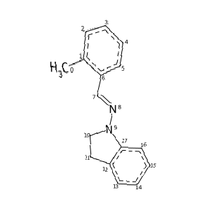 Cc1ccccc1C=NN1CCc2ccccc21